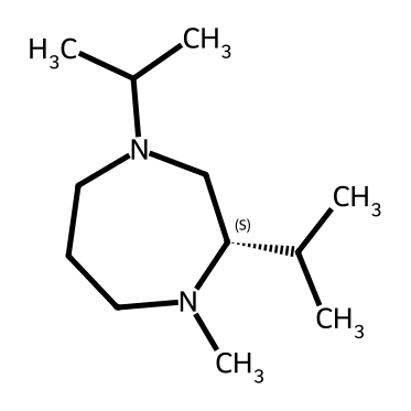 CC(C)[C@H]1CN(C(C)C)CCCN1C